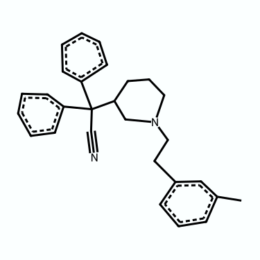 Cc1cccc(CCN2CCCC(C(C#N)(c3ccccc3)c3ccccc3)C2)c1